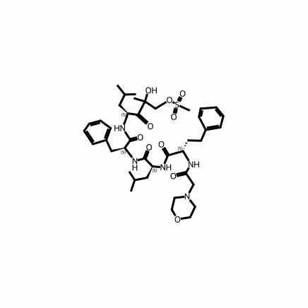 CC(C)C[C@H](NC(=O)[C@H](CCc1ccccc1)NC(=O)CN1CCOCC1)C(=O)N[C@@H](Cc1ccccc1)C(=O)N[C@@H](CC(C)C)C(=O)C(C)(O)COS(C)(=O)=O